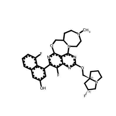 CN1CCC2COc3nc(-c4cc(O)cc5cccc(F)c45)c(F)c4nc(OC[C@@]56CCCN5C[C@H](F)C6)nc(c34)N2CC1